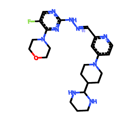 Fc1cnc(N/N=C/c2cc(N3CCC(C4NCCCN4)CC3)ccn2)nc1N1CCOCC1